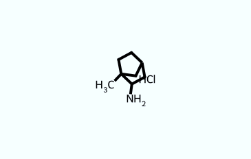 CC12CCC(CC1N)C2.Cl